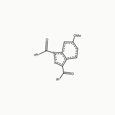 CCCC(=O)n1nc(C(=O)C(C)C)c2ccc(OC)cc21